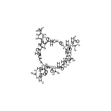 CC(=O)N[C@H](C(=O)N[C@H]1CCCCNC(=O)C2(C)CC(=NN2c2ccc(N(C)C)cc2)C(=O)NCCCC[C@@H](C(=O)N[C@@H](CC(C)C)C(N)=O)NC(=O)[C@H](C(C)C)NC(=O)C(C)(C)NC(=O)[C@H](CC(C)C)NC1=O)C(C)C